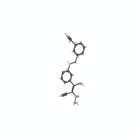 N#C/C(NN)=C(/N)c1cccc(OCc2cccc(C#N)c2)c1